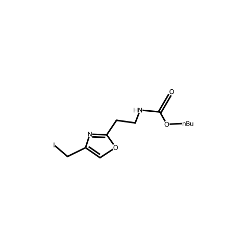 CCCCOC(=O)NCCc1nc(CI)co1